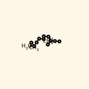 CCC1C(c2cccc(-c3cccc4c(-c5cccc(-c6ccc(-c7cccc8c7-c7ccccc7C8(C)C)cc6)c5)cccc34)c2)=NC(c2ccc(-c3ccccc3)cc2)=NC1c1ccccc1